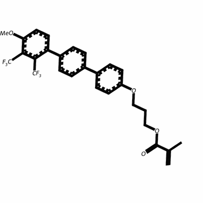 C=C(C)C(=O)OCCCOc1ccc(-c2ccc(-c3ccc(OC)c(C(F)(F)F)c3C(F)(F)F)cc2)cc1